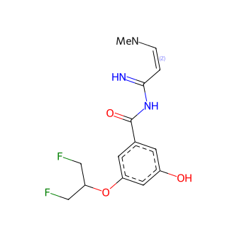 CN/C=C\C(=N)NC(=O)c1cc(O)cc(OC(CF)CF)c1